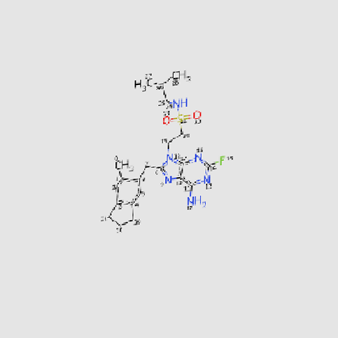 Cc1cc2c(cc1Cc1nc3c(N)nc(F)nc3n1CCS(=O)(=O)NCC(C)C)CCC2